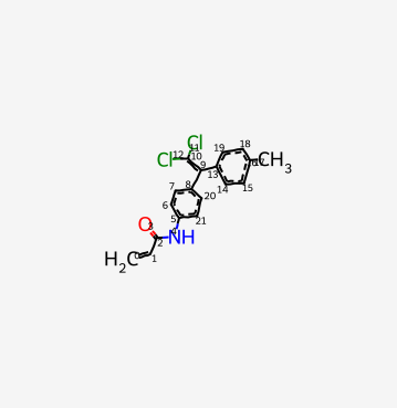 C=CC(=O)Nc1ccc(C(=C(Cl)Cl)c2ccc(C)cc2)cc1